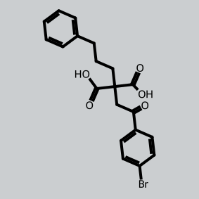 O=C(CC(CCCc1ccccc1)(C(=O)O)C(=O)O)c1ccc(Br)cc1